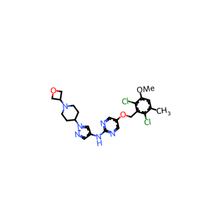 COc1cc(C)c(Cl)c(COc2cnc(Nc3cnn(C4CCN(C5COC5)CC4)c3)nc2)c1Cl